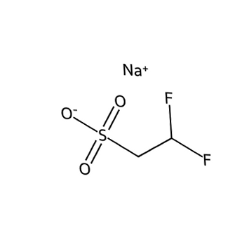 O=S(=O)([O-])CC(F)F.[Na+]